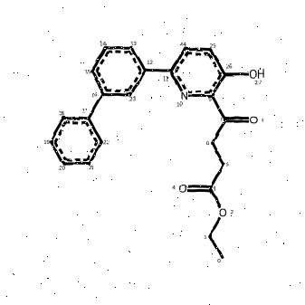 CCOC(=O)CCC(=O)c1nc(-c2cccc(-c3ccccc3)c2)ccc1O